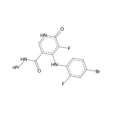 CCCNC(=O)c1c[nH]c(=O)c(F)c1Nc1ccc(Br)cc1F